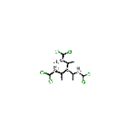 CC([SiH2]C(Cl)Cl)B(C(C)[SiH2]C(Cl)Cl)C(C)[SiH2]C(Cl)Cl